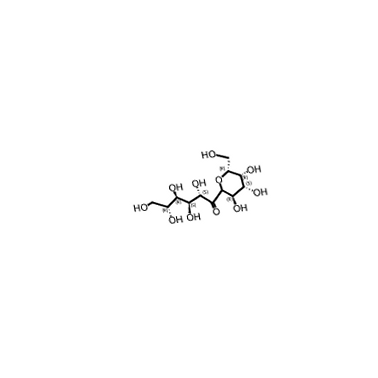 O=C(C1O[C@H](CO)[C@H](O)[C@H](O)[C@H]1O)[C@@H](O)[C@@H](O)[C@H](O)[C@H](O)CO